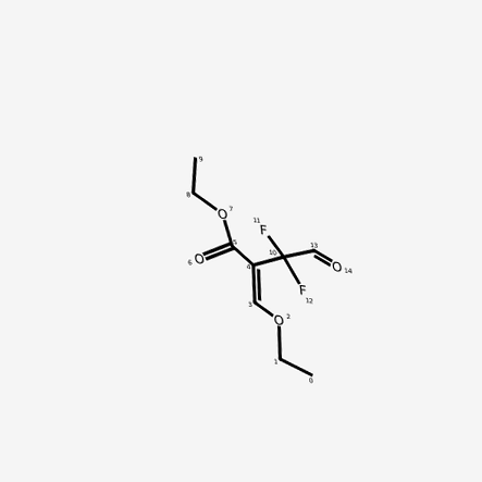 CCOC=C(C(=O)OCC)C(F)(F)C=O